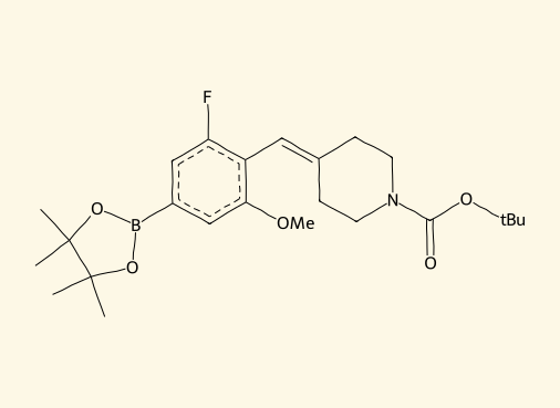 COc1cc(B2OC(C)(C)C(C)(C)O2)cc(F)c1C=C1CCN(C(=O)OC(C)(C)C)CC1